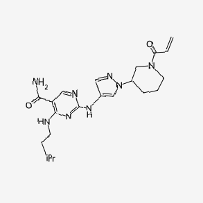 C=CC(=O)N1CCCC(n2cc(Nc3ncc(C(N)=O)c(NCCC(C)C)n3)cn2)C1